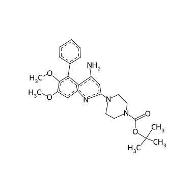 COc1cc2nc(N3CCN(C(=O)OC(C)(C)C)CC3)cc(N)c2c(-c2ccccc2)c1OC